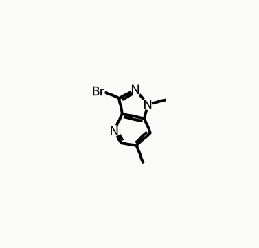 Cc1cnc2c(Br)nn(C)c2c1